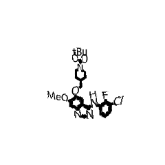 COc1cc2ncnc(Nc3cccc(Cl)c3F)c2cc1OCC1CCN(C(=O)OC(C)(C)C)CC1